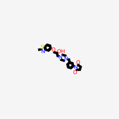 Cc1nc2cc(OC[C@H](O)CN3CCN(Cc4cccc(N5C(=O)CCC5=O)c4)CC3)ccc2s1